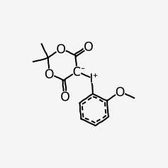 COc1ccccc1[I+][C-]1C(=O)OC(C)(C)OC1=O